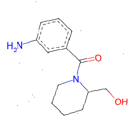 Nc1cccc(C(=O)N2CCCCC2CO)c1